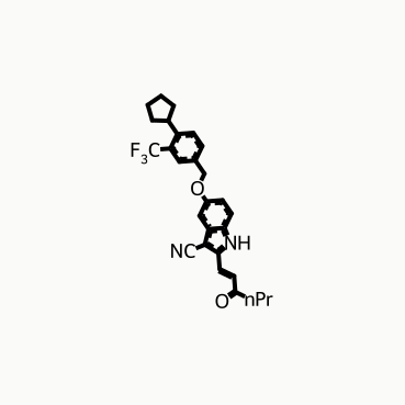 CCCC(=O)/C=C/c1[nH]c2ccc(OCc3ccc(C4CCCC4)c(C(F)(F)F)c3)cc2c1C#N